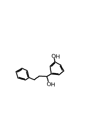 Oc1cccc(C(O)CCc2ccccc2)c1